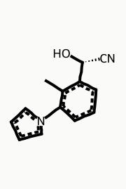 Cc1c([C@H](O)C#N)cccc1-n1cccc1